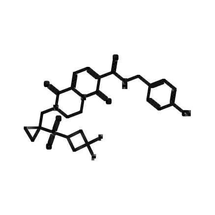 N#Cc1ccc(CNC(=O)c2ccc3n(c2=O)CCN(CC2(S(=O)(=O)C4CC(F)(F)C4)CC2)C3=O)cc1